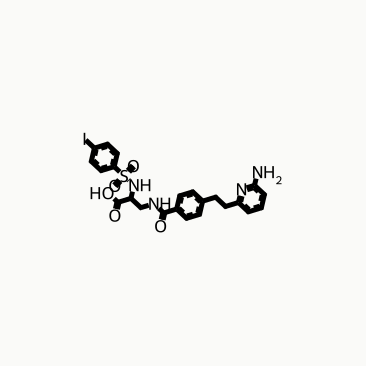 Nc1cccc(CCc2ccc(C(=O)NCC(NS(=O)(=O)c3ccc(I)cc3)C(=O)O)cc2)n1